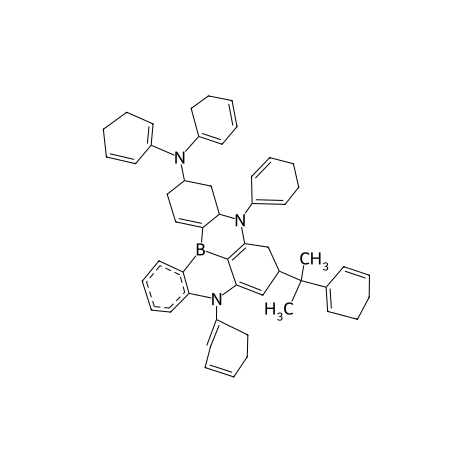 CC(C)(C1=CCCC=C1)C1C=C2C3=C(C1)N(C1=CCCC=C1)C1CC(N(C4=CCCC=C4)C4=CC=CCC4)CC=C1B3c1ccccc1N2C1=CC=CCC1